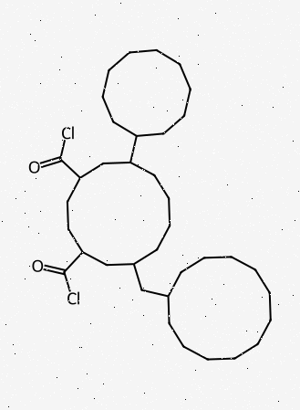 O=C(Cl)C1CCC(C(=O)Cl)CC(C2CCCCCCCCC2)CCCCC(CC2CCCCCCCCCCC2)C1